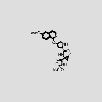 CCC(C)S(=O)(=O)NC(=O)[C@@]1(NC(=O)[C@@H]2C[C@@H](Oc3nccc4cc(OC)ccc34)CN2)C[C@H]1C